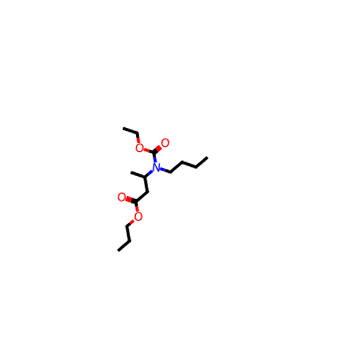 CCCCN(C(=O)OCC)C(C)CC(=O)OCCC